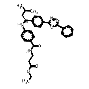 CCOC(=O)CCNC(=O)c1ccc(N[C@@H](CC(C)C)c2ccc(-c3nnc(-c4ccccc4)o3)cc2)cc1